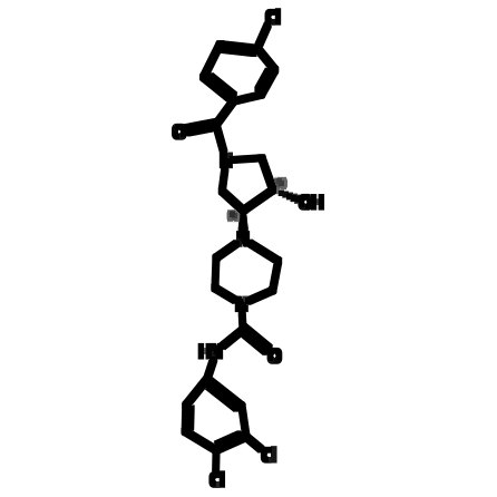 O=C(Nc1ccc(Cl)c(Cl)c1)N1CCN([C@H]2CN(C(=O)c3ccc(Cl)cc3)C[C@@H]2O)CC1